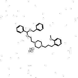 COc1ccccc1CCCN1CCN(CCOC(OCc2ccccc2)c2ccccc2)CC1.Cl.Cl